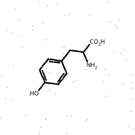 NC(Cc1[c]cc(O)cc1)C(=O)O